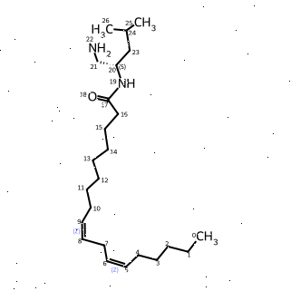 CCCCC/C=C\C/C=C\CCCCCCCC(=O)N[C@H](CN)CC(C)C